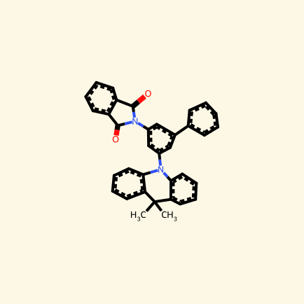 CC1(C)c2ccccc2N(c2cc(-c3ccccc3)cc(N3C(=O)c4ccccc4C3=O)c2)c2ccccc21